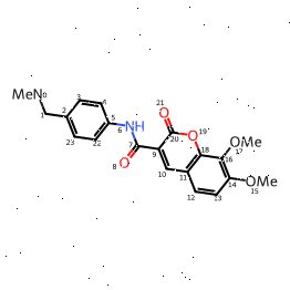 CNCc1ccc(NC(=O)c2cc3ccc(OC)c(OC)c3oc2=O)cc1